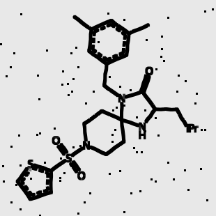 Cc1cc(C)cc(CN2C(=O)C(CC(C)C)NC23CCN(S(=O)(=O)c2cccs2)CC3)c1